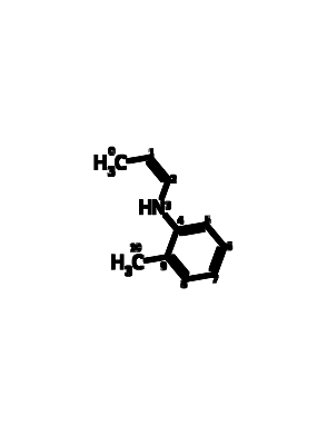 C/C=C\Nc1ccccc1C